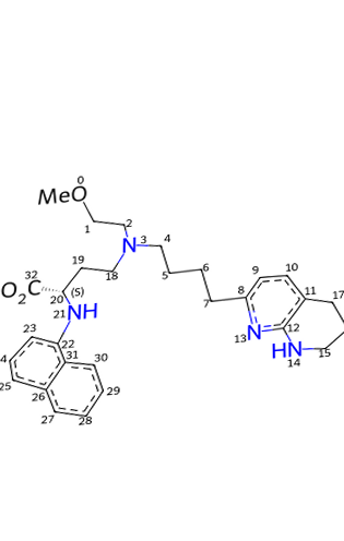 COCCN(CCCCc1ccc2c(n1)NCCC2)CC[C@H](Nc1cccc2ccccc12)C(=O)O